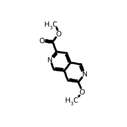 COC(=O)c1cc2cnc(OC)cc2cn1